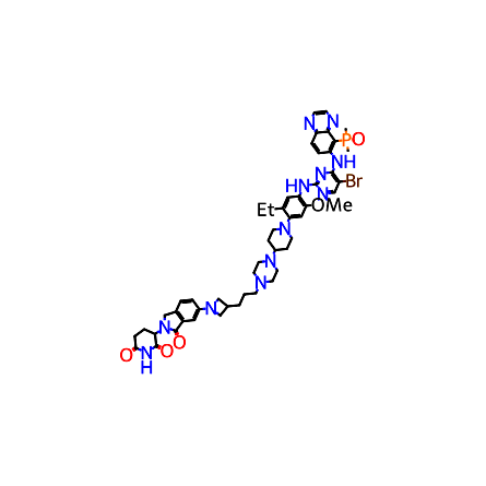 CCc1cc(Nc2ncc(Br)c(Nc3ccc4nccnc4c3P(C)(C)=O)n2)c(OC)cc1N1CCC(N2CCN(CCCC3CN(c4ccc5c(c4)C(=O)N(C4CCC(=O)NC4=O)C5)C3)CC2)CC1